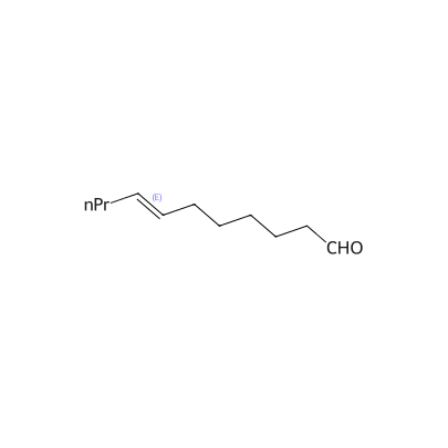 CCC/C=C/CCCCCC=O